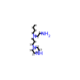 CCCCN(CCN)CCCN1CCNCC1